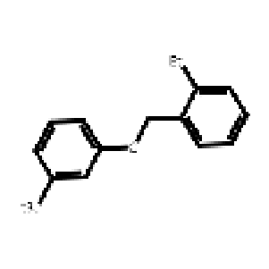 CCc1ccccc1COc1cccc(C(C)(C)C)c1